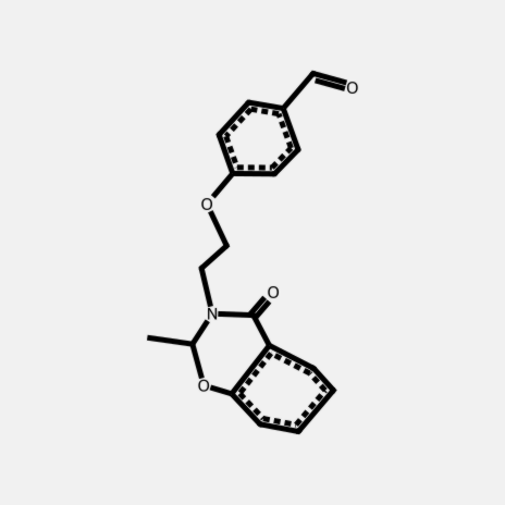 CC1Oc2ccccc2C(=O)N1CCOc1ccc(C=O)cc1